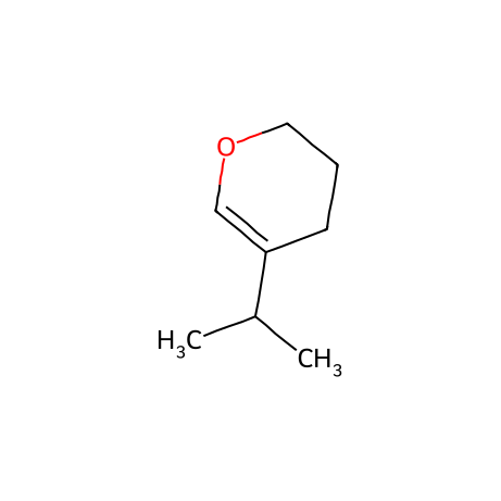 CC(C)C1=COCCC1